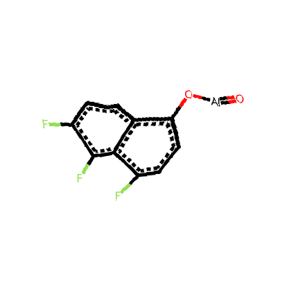 [O]=[Al][O]c1ccc(F)c2c(F)c(F)ccc12